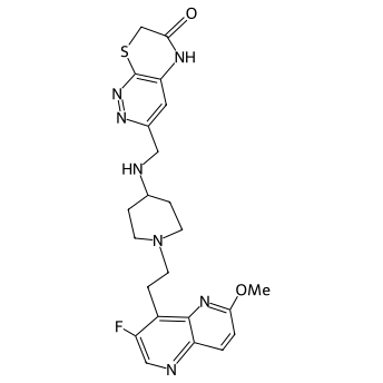 COc1ccc2ncc(F)c(CCN3CCC(NCc4cc5c(nn4)SCC(=O)N5)CC3)c2n1